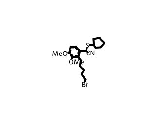 COc1ccc(C(C#N)SC2CCCCC2)c(CCCCCBr)c1OC